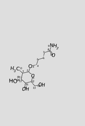 CC1C(OCCCCC(N)=O)OC(CO)C(O)[C@@H]1O